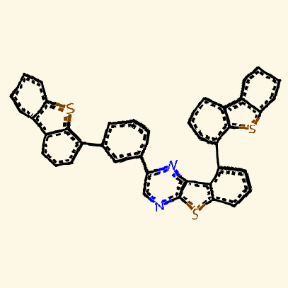 c1cc(-c2cnc3sc4cccc(-c5cccc6c5sc5ccccc56)c4c3n2)cc(-c2cccc3c2sc2ccccc23)c1